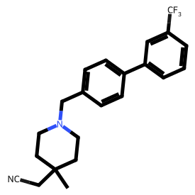 CC1(CC#N)CCN(Cc2ccc(-c3cccc(C(F)(F)F)c3)cc2)CC1